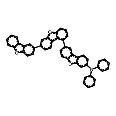 c1ccc(N(c2ccccc2)c2ccc3c(c2)oc2ccc(-c4cccc5oc6cc(-c7ccc8oc9ccccc9c8c7)ccc6c45)cc23)cc1